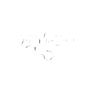 Cc1ccc(C(=O)C2=C(O)C(=O)N(C3CCC(O)CC3)C2c2ccccc2F)o1